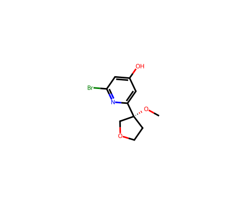 CO[C@]1(c2cc(O)cc(Br)n2)CCOC1